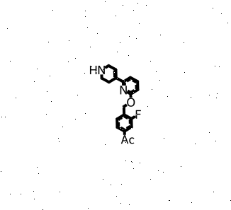 CC(=O)c1ccc(COc2cccc(C3=CCNCC3)n2)c(F)c1